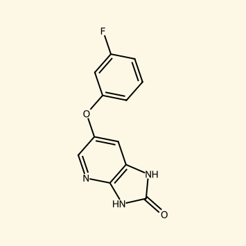 O=c1[nH]c2cc(Oc3cccc(F)c3)cnc2[nH]1